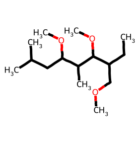 CCC(COC)C(OC)C(C)C(CC(C)C)OC